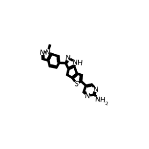 Cn1ncc2ccc(-c3n[nH]c4c3Cc3sc(-c5cnc(N)nc5)cc3-4)cc21